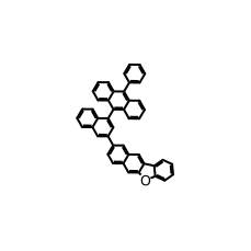 c1ccc(-c2c3ccccc3c(-c3cc(-c4ccc5cc6oc7ccccc7c6cc5c4)cc4ccccc34)c3ccccc23)cc1